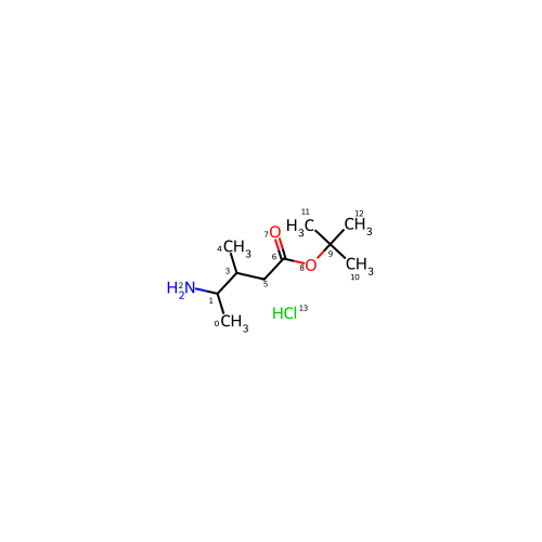 CC(N)C(C)CC(=O)OC(C)(C)C.Cl